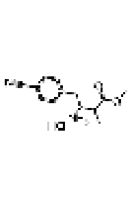 COC(=O)C(C)C(N)Cc1ccc(C#N)cc1.Cl